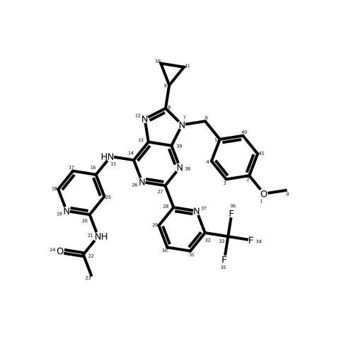 COc1ccc(Cn2c(C3CC3)nc3c(Nc4ccnc(NC(C)=O)c4)nc(-c4cccc(C(F)(F)F)n4)nc32)cc1